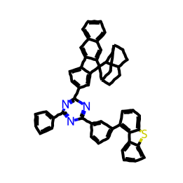 c1ccc(-c2nc(-c3cccc(-c4cccc5sc6ccccc6c45)c3)nc(-c3ccc4c(c3)C3(c5cc6ccccc6cc5-4)C4CCC5CCC(C4)CC53)n2)cc1